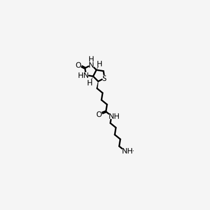 [NH]CCCCCNC(=O)CCCC[C@@H]1SC[C@@H]2NC(=O)N[C@@H]21